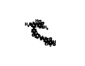 Cc1cc(N2CC(N3CCN(C(=O)c4ccc([C@H]5C[C@@H](Nc6cnn(C)c(=O)c6Cl)CN(C)C5)cc4)CC3)C2)ccc1C1CCC(=O)NC1=O